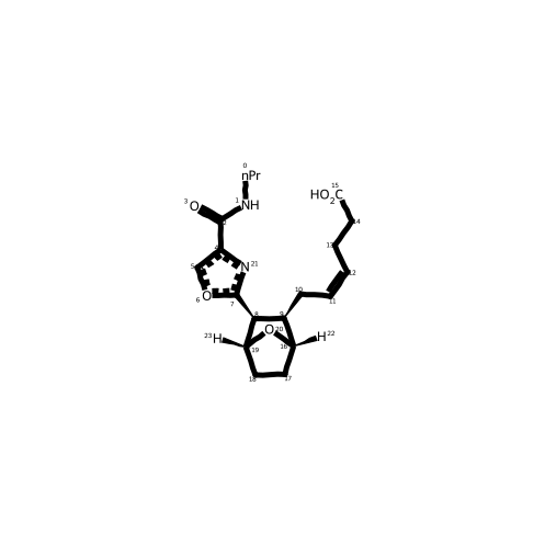 CCCNC(=O)c1coc([C@H]2[C@@H](C/C=C\CCC(=O)O)[C@@H]3CC[C@H]2O3)n1